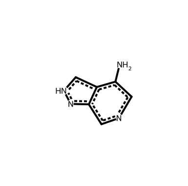 Nc1cncc2n[nH]cc12